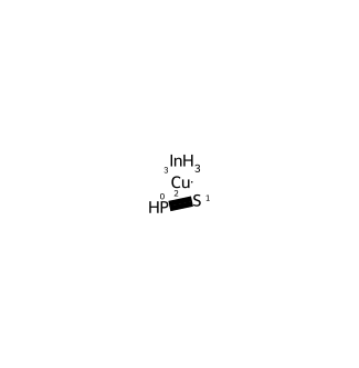 P=S.[Cu].[InH3]